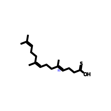 CC(C)=CCCC(C)=CCC/C(C)=C/CCC(O)=S